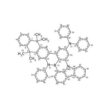 CC1(C)c2ccccc2C(C)(C)c2cc3c(cc21)-c1cc(N(c2ccccc2)c2ccccc2)cc2c1B(c1cccc4c5ccccc5n-2c14)N3c1ccccc1